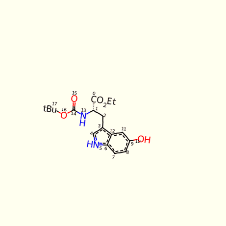 CCOC(=O)[C@H](Cc1c[nH]c2ccc(O)cc12)NC(=O)OC(C)(C)C